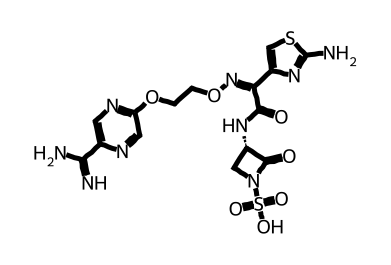 N=C(N)c1cnc(OCCO/N=C(\C(=O)N[C@H]2CN(S(=O)(=O)O)C2=O)c2csc(N)n2)cn1